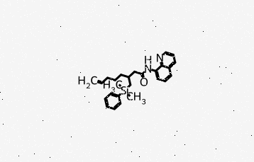 C=CCCCC(CC(=O)Nc1cccc2cccnc12)C[Si](C)(C)c1ccccc1